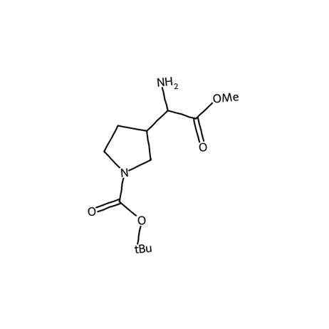 COC(=O)C(N)C1CCN(C(=O)OC(C)(C)C)C1